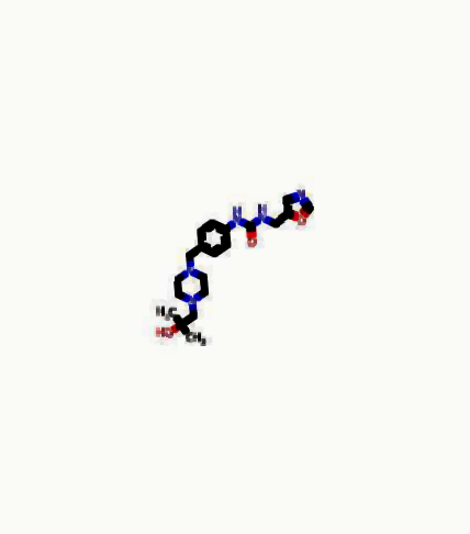 CC(C)(O)CN1CCN(Cc2ccc(NC(=O)NCc3cnco3)cc2)CC1